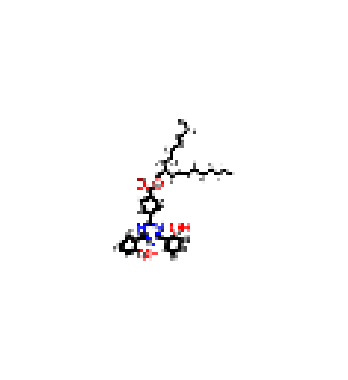 CCCCCCCCCC(CCCCCCC)COC(=O)c1ccc(-c2nc(-c3ccccc3O)nc(-c3ccccc3O)n2)cc1